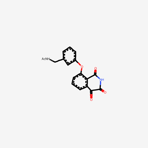 CC(=O)NCc1cccc(Oc2cccc3c2C(=O)NC(=O)C3=O)c1